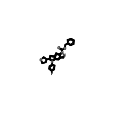 O=C(OCc1ccccc1)n1ncc2cc3c(cc(C4CCOC4)n3-c3ccc(F)cc3)cc21